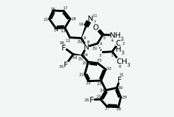 CC(C)C[C@@H](C(N)=O)N([C@H](C#N)Cc1ccccc1)[C@@H](c1ccc(-c2c(F)cccc2F)cc1)C(F)F